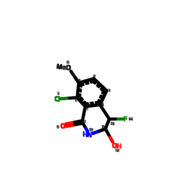 COc1ccc2c(c1Cl)C(=O)NC(O)C2F